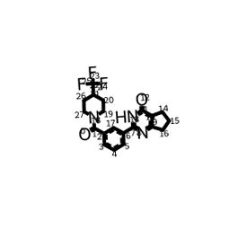 O=C(c1cccc(-c2nc3c(c(=O)[nH]2)CCC3)c1)N1CCC(C(F)(F)F)CC1